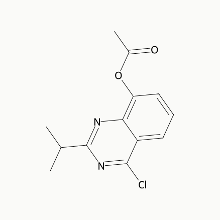 CC(=O)Oc1cccc2c(Cl)nc(C(C)C)nc12